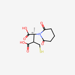 C[C@@](C(=O)O)(C(CS)C(=O)O)N1C(=O)CCCC1=O